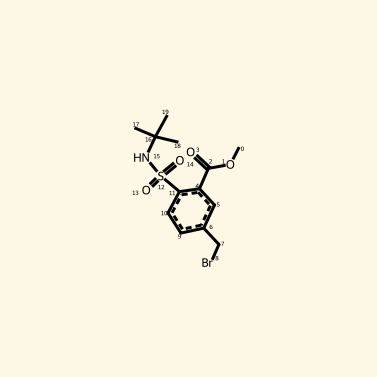 COC(=O)c1cc(CBr)ccc1S(=O)(=O)NC(C)(C)C